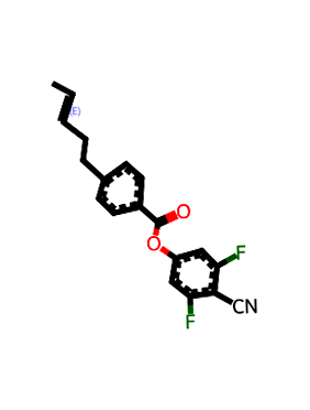 C/C=C/CCc1ccc(C(=O)Oc2cc(F)c(C#N)c(F)c2)cc1